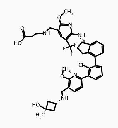 COc1nc(-c2cccc(-c3cccc4c3CC[C@@H]4Nc3nc(OC)c(CNCCC(=O)O)cc3C(F)(F)F)c2Cl)ccc1CN[C@H]1C[C@](C)(O)C1